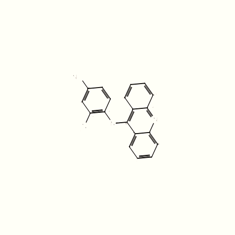 N#Cc1ccc(Nc2c3ccccc3nc3ccccc23)c([N+](=O)[O-])c1